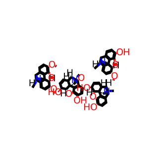 CN1CC[C@]23c4c5ccc(O)c4O[C@H]2[C@@H](O)C=C[C@H]3[C@H]1C5.CN1CC[C@]23c4c5ccc(O)c4O[C@H]2[C@@H](O)C=C[C@H]3[C@H]1C5=O.COC1=CC=C2[C@H]3Cc4ccc(O)c5c4[C@@]2(CCN3C)[C@H]1O5.COC1=CC=C2[C@H]3Cc4ccc(OC)c5c4[C@@]2(CCN3C)[C@H]1O5